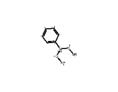 CCCO[SiH](OCCC)c1ccccc1